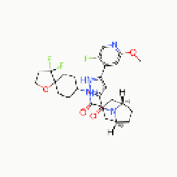 COc1cc(-c2cc(C(=O)N3[C@@H]4CC[C@H]3CC(C(=O)NC3CCC5(CC3)OCCC5(F)F)C4)n[nH]2)c(F)cn1